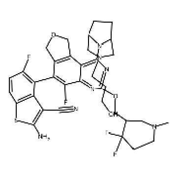 CN1CCC(F)(F)C(COc2nc(N3C4CCC3CN(CCCO)C4)c3c4c(c(-c5c(F)ccc6sc(N)c(C#N)c56)c(F)c3n2)COC4)C1